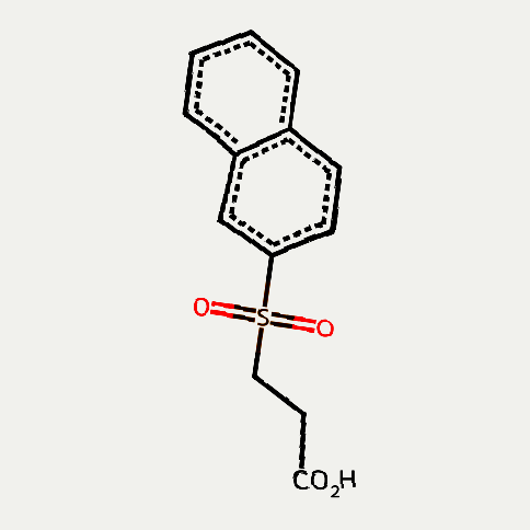 O=C(O)CCS(=O)(=O)c1ccc2ccccc2c1